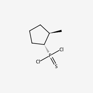 C[C@@H]1CCC[C@H]1P(=S)(Cl)Cl